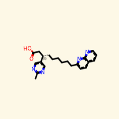 Cc1ncc([C@@H](CCCCCCc2ccc3cccnc3n2)CC(=O)O)cn1